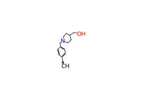 C#Cc1ccc(CN2CCC(CO)CC2)cc1